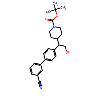 CC(C)(C)OC(=O)N1CCC(C(CO)c2ccc(-c3cccc(C#N)c3)cc2)CC1